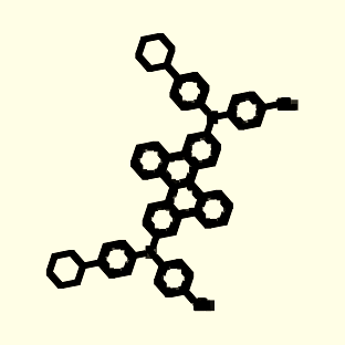 CC(C)(C)c1ccc(N(c2ccc(C3CCCCC3)cc2)c2ccc3c(c2)c2ccccc2c2c4ccc(N(c5ccc(C6CCCCC6)cc5)c5ccc(C(C)(C)C)cc5)cc4c4ccccc4c32)cc1